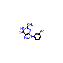 CC(=O)c1cccc(-n2cnc3c(=O)[nH]c(C)nc32)c1